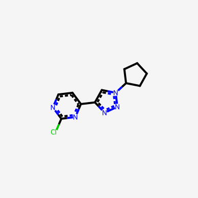 Clc1nccc(-c2cn(C3CCCC3)nn2)n1